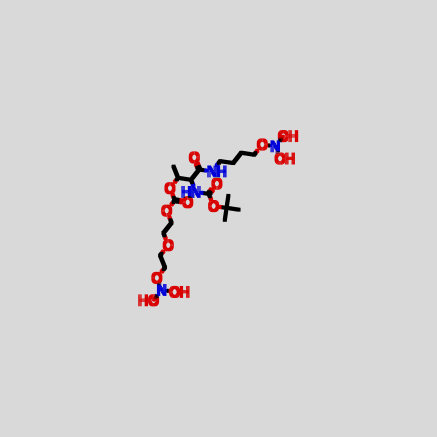 CC(OC(=O)OCCOCCON(O)O)C(NC(=O)OC(C)(C)C)C(=O)NCCCCON(O)O